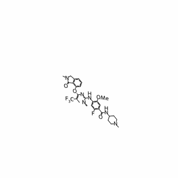 C=N/C(=N\C(Oc1cccc2c1C(=O)N(C)C2)=C(/C)C(F)(F)F)Nc1cc(F)c(C(=O)NC2CCN(C)CC2)cc1OC